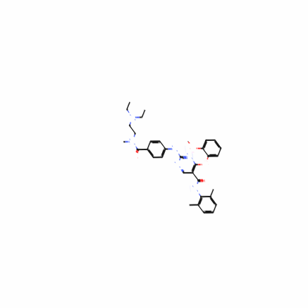 CCN(CC)CCN(C)C(=O)c1ccc(Nc2ncc(C(=O)Nc3c(C)cccc3C)c(Oc3ccccc3OC)n2)cc1